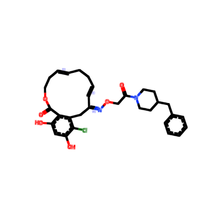 O=C1OCC/C=C/CC/C=C/C(=N\OCC(=O)N2CCC(Cc3ccccc3)CC2)Cc2c(Cl)c(O)cc(O)c21